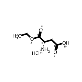 CCOC(=O)[C@@H](N)CC(=O)O.Cl